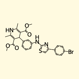 COC(=O)C1=C(C)NC(C)=C(C(=O)OC)C1c1cccc(Nc2nc(-c3ccc(Br)cc3)cs2)c1